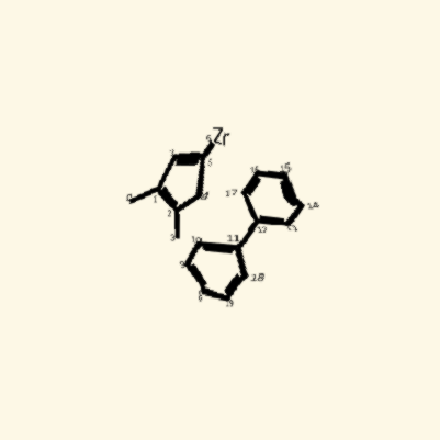 CC1=C(C)C[C]([Zr])=C1.c1ccc(-c2ccccc2)cc1